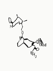 COc1cc2c(OCC[C@H]3NC(=O)[C@@H](C)[C@H]3C)nccc2cc1C(N)=O